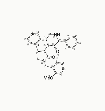 COc1ccccc1CN(C)C(=O)[C@@H](Cc1ccccc1)N1CCN[C@H](c2ccccc2)C1=O